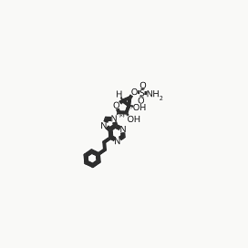 NS(=O)(=O)OC1[C@H]2O[C@@H](n3cnc4c(CCc5ccccc5)ncnc43)[C@H](O)[C@@]12O